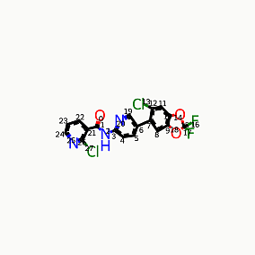 O=C(Nc1ccc(-c2cc3c(cc2Cl)OC(F)(F)O3)cn1)c1cccnc1Cl